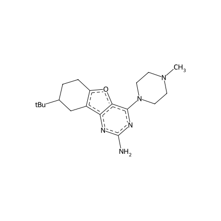 CN1CCN(c2nc(N)nc3c4c(oc23)CCC(C(C)(C)C)C4)CC1